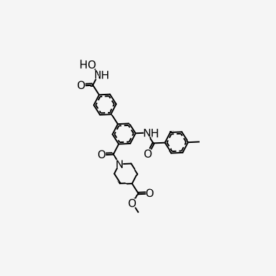 COC(=O)C1CCN(C(=O)c2cc(NC(=O)c3ccc(C)cc3)cc(-c3ccc(C(=O)NO)cc3)c2)CC1